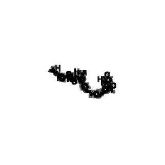 Cn1c(=O)n(C2CCC(=O)NC2=O)c2ccc(CN3CCC(CCCN4CCC(n5cc(NC(=O)c6coc(-c7ccnc(NCC8CC8)c7)n6)c(C(F)F)n5)CC4)CC3)cc21